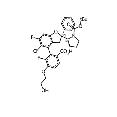 CC(C)(C)OC(=O)N1CCC[C@H]1[C@@]1(c2ccccc2)Cc2c(cc(F)c(Cl)c2-c2c(C(=O)O)ccc(OCCO)c2F)O1